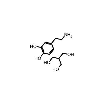 NCCc1ccc(O)c(O)c1.OCC(CO)CO